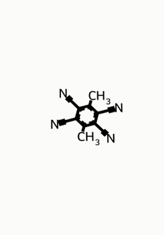 Cc1c(C#N)c(C#N)c(C)c(C#N)c1C#N